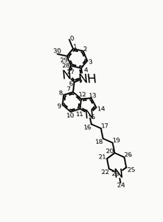 Cc1ccc2[nH]c(-c3cccc4c3ccn4CCCCC3CCN(C)CC3)nc2c1C